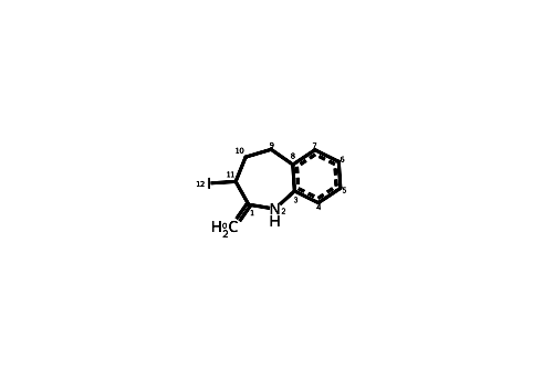 C=C1Nc2ccccc2CCC1I